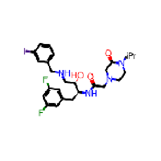 CC(C)N1CCN(CC(=O)N[C@@H](Cc2cc(F)cc(F)c2)[C@@H](O)CNCc2cccc(I)c2)CC1=O